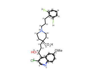 COc1ccc2ncc(Cl)c([C@H](O)CCC3(C(=O)O)CCN(CCCc4c(F)cccc4F)CC3)c2c1